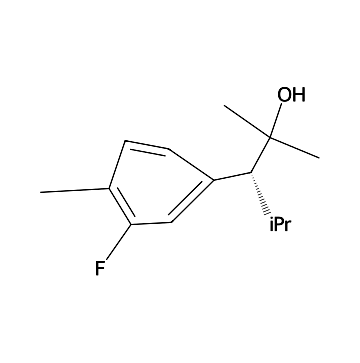 Cc1ccc([C@@H](C(C)C)C(C)(C)O)cc1F